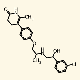 CC1=C(c2ccc(OCC(C)NCC(O)c3cccc(Cl)c3)cc2)CCC(=O)N1